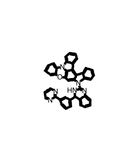 c1cnc(-c2cccc(C3NC(n4c5ccccc5c5c6c7ccccc7n7c6c(cc54)Oc4ccccc4-7)=Nc4ccccc43)c2)nc1